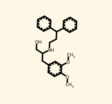 COc1ccc(CC(CO)NCCC(c2ccccc2)c2ccccc2)cc1OC